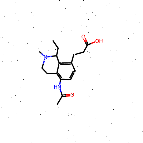 CCC1c2c(CCC(=O)O)ccc(NC(C)=O)c2CCN1C